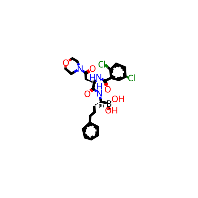 O=C(N[C@H](CC(=O)N1CCOCC1)C(=O)N[C@@H](CCCc1ccccc1)B(O)O)c1cc(Cl)ccc1Cl